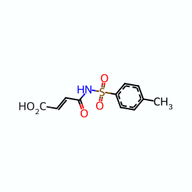 Cc1ccc(S(=O)(=O)NC(=O)/C=C/C(=O)O)cc1